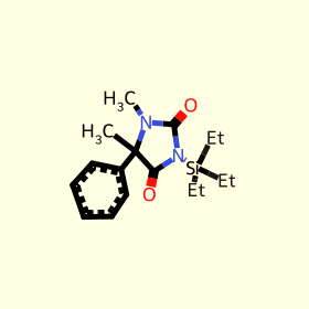 CC[Si](CC)(CC)N1C(=O)N(C)C(C)(c2ccccc2)C1=O